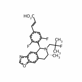 C[C@@H]1Cc2cc3ocnc3cc2[C@@H](c2c(F)cc(/C=C/C(=O)O)cc2F)N1CC(C)(C)F